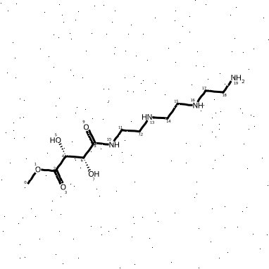 COC(=O)[C@H](O)[C@@H](O)C(=O)NCCNCCNCCN